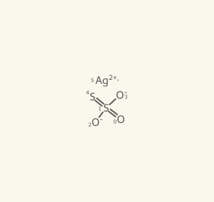 O=S([O-])([O-])=S.[Ag+2]